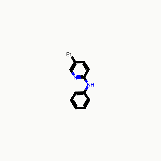 CCc1ccc(Nc2ccccc2)nc1